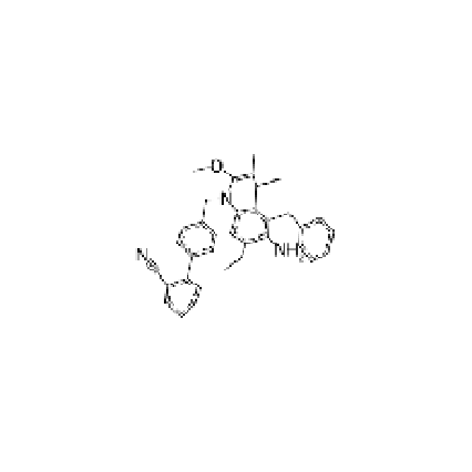 CCc1cc2c(c(Cc3ccccc3)c1N)C(C)C(C)=C(OC)N2Cc1ccc(-c2ccccc2C#N)cc1